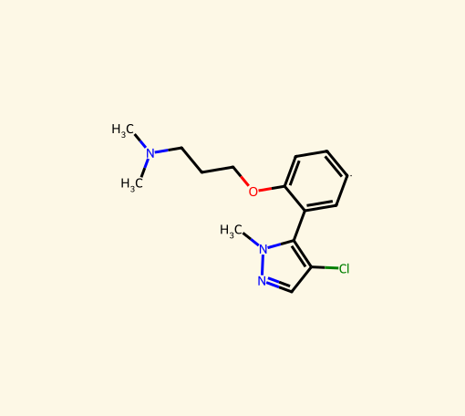 CN(C)CCCOc1cc[c]cc1-c1c(Cl)cnn1C